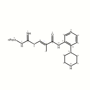 CCCCCNC(=N)S/C=C(\C)C(=O)Nc1cnccc1N1CCNCC1